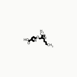 CCCCc1noc(C)c1COc1ccc(C(=O)O)cn1